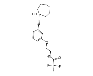 O=C(NCCOc1cccc(C#CC2(O)CCCCCC2)c1)C(F)(F)F